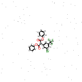 O=C(Oc1ccccc1)C(C(=O)Oc1ccccc1)c1cc(Br)cc(C(F)(F)F)c1